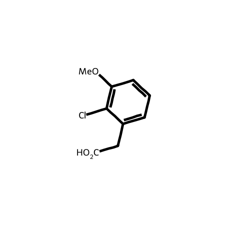 COc1cccc(CC(=O)O)c1Cl